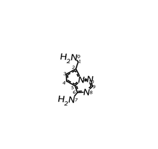 NCc1ccc2c(N)ncnn12